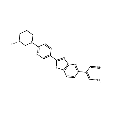 N=C/C(=C\N)c1ccc2sc(-c3ccc(N4CCC[C@@H](F)C4)nc3)nc2n1